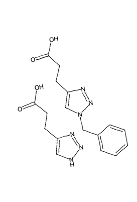 O=C(O)CCc1c[nH]nn1.O=C(O)CCc1cn(Cc2ccccc2)nn1